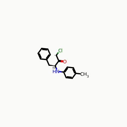 Cc1ccc(N[C@@H](Cc2ccccc2)C(=O)[CH]Cl)cc1